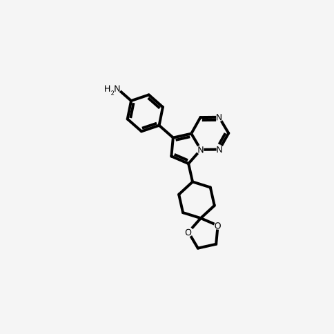 Nc1ccc(-c2cc(C3CCC4(CC3)OCCO4)n3ncncc23)cc1